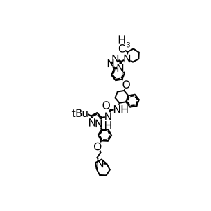 CC1CCCCN1c1nnc2ccc(O[C@@H]3CC[C@H](NC(=O)Nc4cc(C(C)(C)C)nn4-c4cccc(OCCN5C6CCCC5CC6)c4)c4ccccc43)cn12